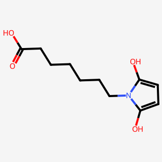 O=C(O)CCCCCCn1c(O)ccc1O